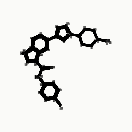 CN1CCC(n2cc(-c3ccc4[nH]nc(C(=O)Nc5ccc(F)cc5)c4c3)cn2)CC1